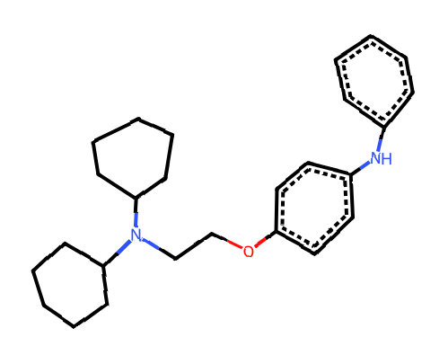 c1ccc(Nc2ccc(OCCN(C3CCCCC3)C3CCCCC3)cc2)cc1